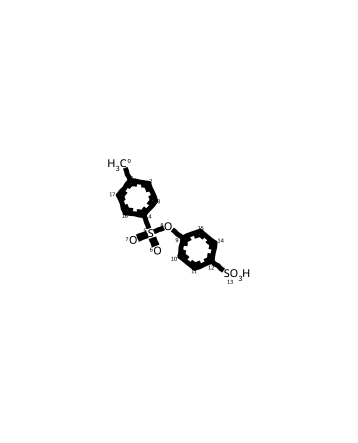 Cc1ccc(S(=O)(=O)Oc2ccc(S(=O)(=O)O)cc2)cc1